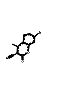 Cc1c(C#N)c(=O)oc2cc(Br)ccc12